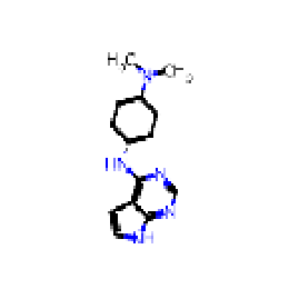 CN(C)[C@H]1CC[C@H](Nc2ncnc3[nH]ccc23)CC1